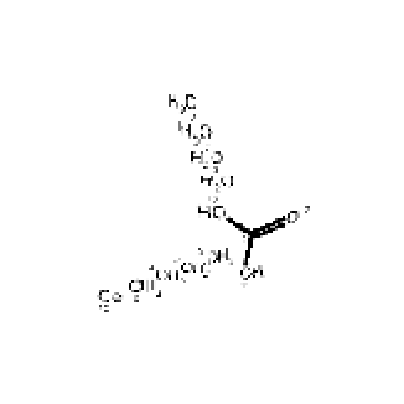 O.O.O.O.O.O.O.O.O=C(O)O.[Ce]